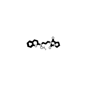 CN(CCCN1C(=O)C2CCCN2C1=O)C1CCc2ccccc2O1